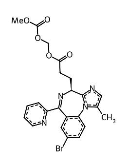 COC(=O)OCOC(=O)CC[C@@H]1N=C(c2ccccn2)c2cc(Br)ccc2-n2c(C)cnc21